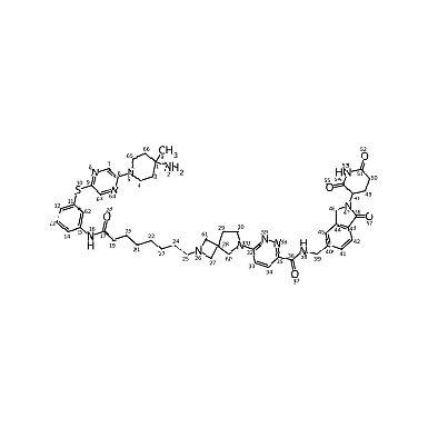 CC1(N)CCN(c2cnc(Sc3cccc(NC(=O)CCCCCCCN4CC5(CCN(c6ccc(C(=O)NCc7ccc8c(c7)CN(C7CCC(=O)NC7=O)C8=O)nn6)C5)C4)c3)cn2)CC1